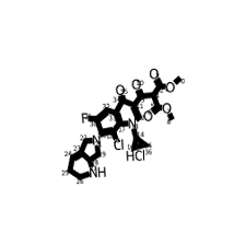 COC(=O)C(C(=O)OC)C(=O)c1cn(C2CC2)c2c(Cl)c(N3CC4=CCCNC4C3)c(F)cc2c1=O.Cl